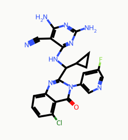 N#Cc1c(N)nc(N)nc1NC(c1nc2cccc(Cl)c2c(=O)n1-c1cncc(F)c1)C1CC1